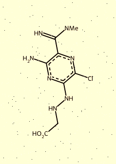 CNC(=N)c1nc(Cl)c(NNCC(=O)O)nc1N